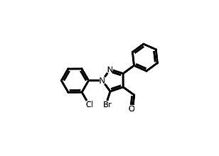 O=Cc1c(-c2ccccc2)nn(-c2ccccc2Cl)c1Br